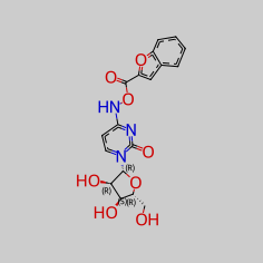 O=C(ONc1ccn([C@@H]2O[C@H](CO)[C@@H](O)[C@H]2O)c(=O)n1)c1cc2ccccc2o1